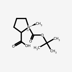 CC(C)(C)OC(=O)[N@@+]1(C)CCCC1C(=O)O